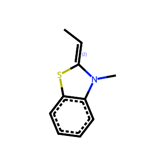 C/C=C1\Sc2ccccc2N1C